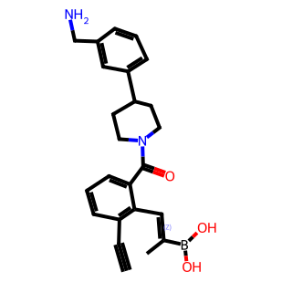 C#Cc1cccc(C(=O)N2CCC(c3cccc(CN)c3)CC2)c1/C=C(\C)B(O)O